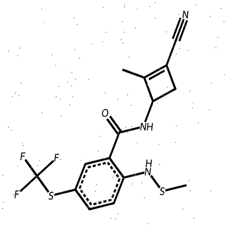 CSNc1ccc(SC(F)(F)F)cc1C(=O)NC1CC(C#N)=C1C